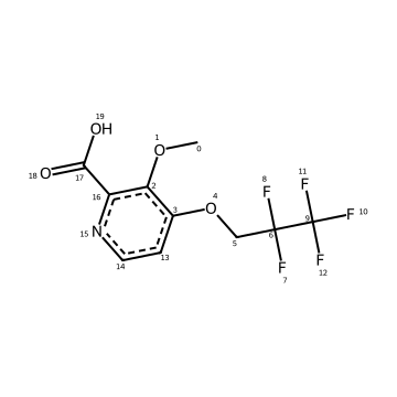 COc1c(OCC(F)(F)C(F)(F)F)ccnc1C(=O)O